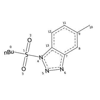 CCCCS(=O)(=O)n1nnc2cc(C)ccc21